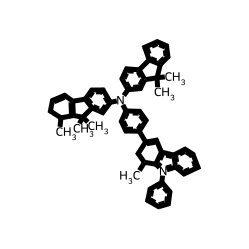 CC1CC=CC2=C1C(C)(C)c1cc(N(c3ccc(C4=Cc5c(n(-c6ccccc6)c6ccccc56)C(C)C4)cc3)c3ccc4c(c3)C(C)(C)c3ccccc3-4)ccc12